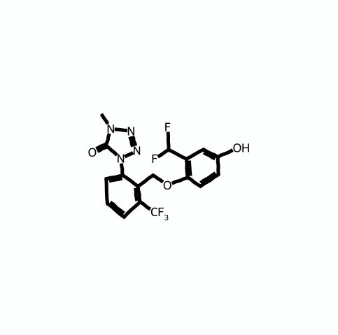 Cn1nnn(-c2cccc(C(F)(F)F)c2COc2ccc(O)cc2C(F)F)c1=O